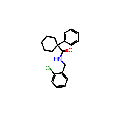 O=C(NCc1ccccc1Cl)C1(c2ccccc2)CCCCC1